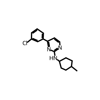 CC1CCC(Nc2nccc(-c3cccc(Cl)c3)n2)CC1